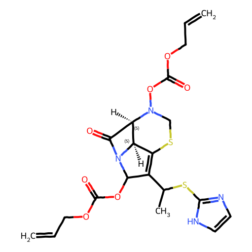 C=CCOC(=O)OC1C(C(C)Sc2ncc[nH]2)=C2SCN(OC(=O)OCC=C)[C@@H]3C(=O)N1[C@H]23